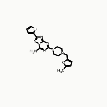 Cc1ccc(CN2CCN(c3nc(N)n4nc(-c5ccco5)nc4n3)CC2)o1